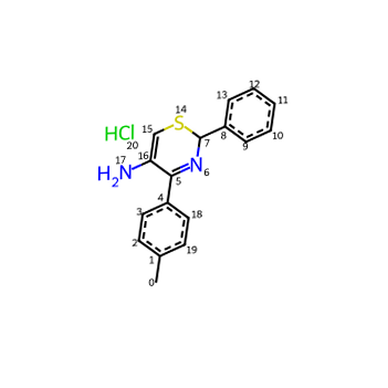 Cc1ccc(C2=NC(c3ccccc3)SC=C2N)cc1.Cl